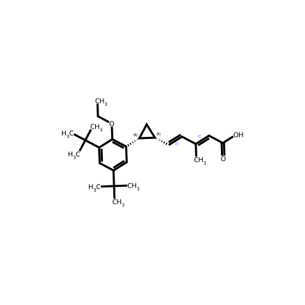 CCOc1c([C@@H]2C[C@@H]2/C=C/C(C)=C/C(=O)O)cc(C(C)(C)C)cc1C(C)(C)C